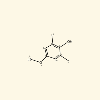 CCOc1cc(C)c(O)c(C)c1